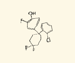 Oc1ccc(C2(c3ccccc3Cl)CCC(F)(F)CC2)cc1F